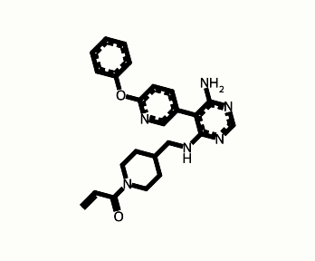 C=CC(=O)N1CCC(CNc2ncnc(N)c2-c2ccc(Oc3ccccc3)nc2)CC1